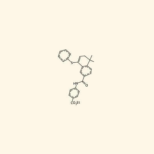 CCOC(=O)c1ccc(NC(=O)c2ccc3c(c2)C(Sc2ccccc2)=CCC3(C)C)cc1